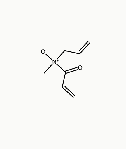 C=CC[N+](C)([O-])C(=O)C=C